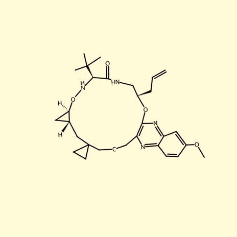 C=CC[C@@H]1CNC(=O)[C@H](C(C)(C)C)NO[C@@H]2C[C@H]2CC2(CCCc3nc4ccc(OC)cc4nc3O1)CC2